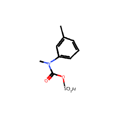 Cc1cccc(N(C)C(=O)OS(=O)(=O)O)c1